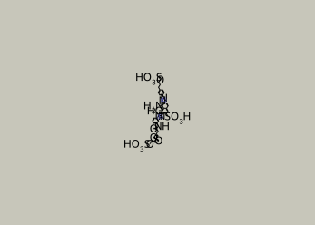 Nc1c(/N=N/c2ccc(CCCOS(=O)(=O)O)cc2)ccc2cc(S(=O)(=O)O)c(/N=N/c3cccc(NC(=O)CCCS(=O)(=O)CCOS(=O)(=O)O)c3)c(O)c12